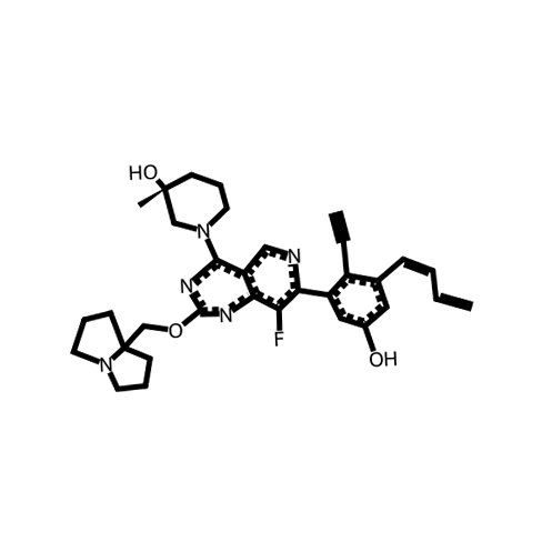 C#Cc1c(/C=C\C=C)cc(O)cc1-c1ncc2c(N3CCC[C@@](C)(O)C3)nc(OCC34CCCN3CCC4)nc2c1F